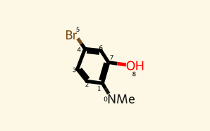 CNc1ccc(Br)cc1O